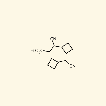 CCOC(=O)CC(C#N)C1CCC1.N#CCC1CCC1